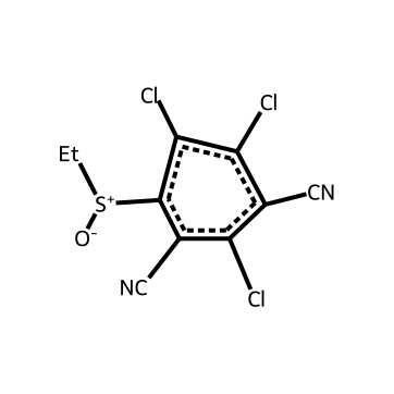 CC[S+]([O-])c1c(Cl)c(Cl)c(C#N)c(Cl)c1C#N